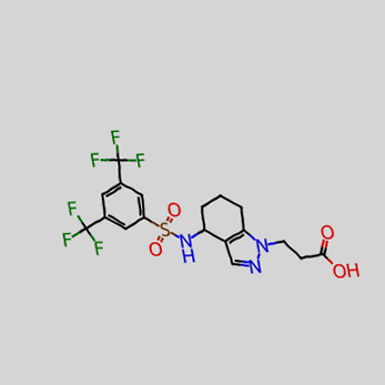 O=C(O)CCn1ncc2c1CCCC2NS(=O)(=O)c1cc(C(F)(F)F)cc(C(F)(F)F)c1